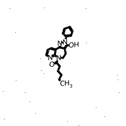 CCCCCC(=O)N1CCc2c(nn(-c3ccccc3)c2O)-c2cccnc21